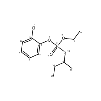 CCOP(=O)(Oc1ccccc1Cl)SC(C)CC